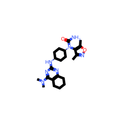 Cc1noc(C)c1N(C(N)=O)[C@H]1CC[C@@H](Nc2nc3c(c(N(C)C)n2)CCCC3)CC1